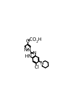 O=C(O)Oc1cnn(-c2nc3cc(N4CCCCC4)c(Cl)cc3[nH]2)c1